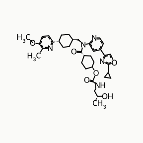 COc1ccc([C@H]2CC[C@H](CN(c3cc(-c4coc(C5CC5)n4)ccn3)C(=O)[C@H]3CC[C@H](OC(=O)NC[C@@H](C)O)CC3)CC2)nc1C